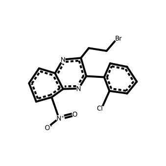 O=[N+]([O-])c1cccc2nc(CCBr)c(-c3ccccc3Cl)nc12